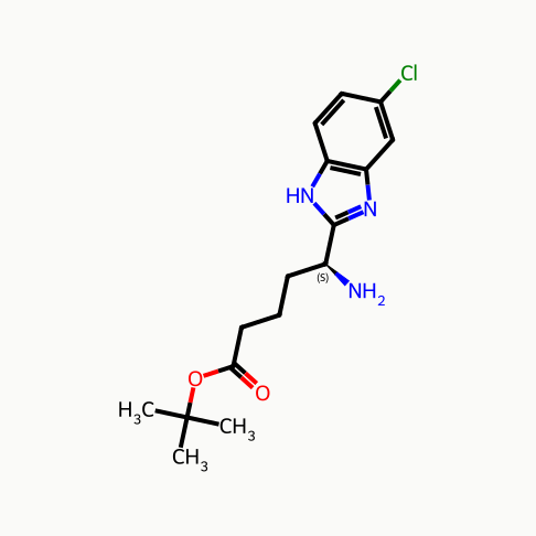 CC(C)(C)OC(=O)CCC[C@H](N)c1nc2cc(Cl)ccc2[nH]1